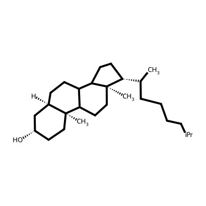 CC(C)CCCCC(C)[C@H]1CCC2C3CC[C@@H]4C[C@@H](O)CC[C@]4(C)C3CC[C@@]21C